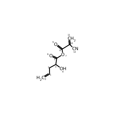 C=CCC(O)C(=O)OC(=O)C(=C)C#N